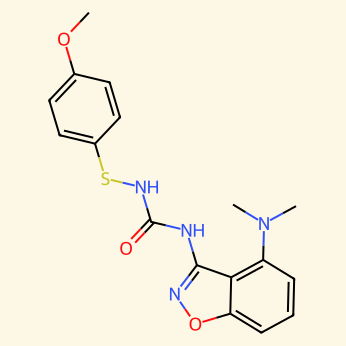 COc1ccc(SNC(=O)Nc2noc3cccc(N(C)C)c23)cc1